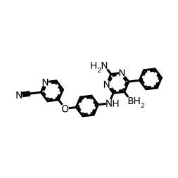 Bc1c(Nc2ccc(Oc3ccnc(C#N)c3)cc2)nc(N)nc1-c1ccccc1